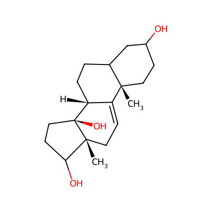 C[C@]12CCC(O)CC1CC[C@@H]1C2=CC[C@]2(C)C(O)CC[C@]12O